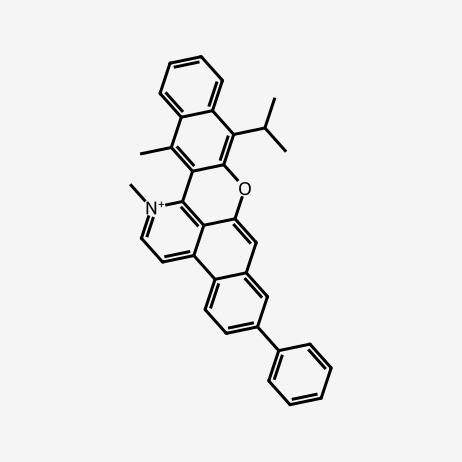 Cc1c2c(c(C(C)C)c3ccccc13)Oc1cc3cc(-c4ccccc4)ccc3c3cc[n+](C)c-2c13